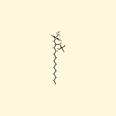 CCCCCCCCCCCCC(CS(=O)(=O)[O-])OC(C)(C)C.[Li+]